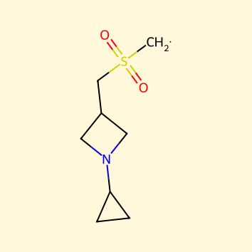 [CH2]S(=O)(=O)CC1CN(C2CC2)C1